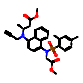 C#CCN(c1ccc(N(CC(=O)OC)S(=O)(=O)c2ccc(C)cc2C)c2ccccc12)[C@@H](C)CC(=O)OC